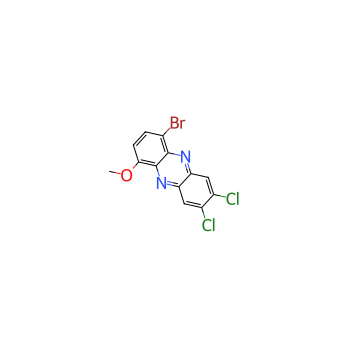 COc1ccc(Br)c2nc3cc(Cl)c(Cl)cc3nc12